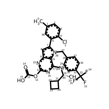 Cc1ccc(Cl)c(-c2cc3nc(OC(=O)O)nc(N[C@H](C)C4CCC4)c3n2Cc2ccc(C(F)(F)F)cc2)c1